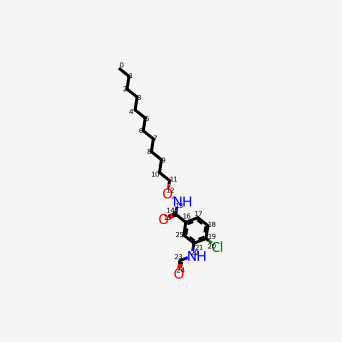 CCCCCCCCCCCCONC(=O)c1ccc(Cl)c(NC=O)c1